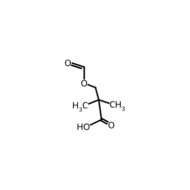 CC(C)(COC=O)C(=O)O